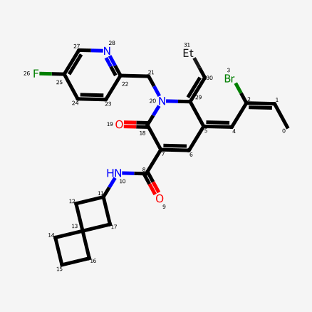 C\C=C(Br)/C=c1/cc(C(=O)NC2CC3(CCC3)C2)c(=O)n(Cc2ccc(F)cn2)/c1=C\CC